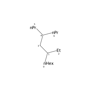 CCCCCCC(CC)CC(CCC)CCC